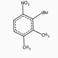 Cc1ccc([N+](=O)[O-])c(C(C)(C)C)c1C